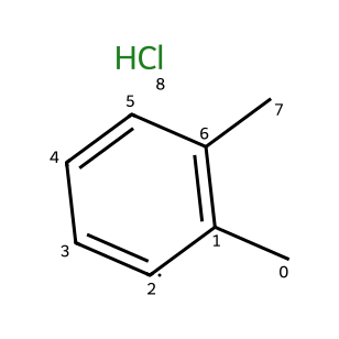 Cc1[c]cccc1C.Cl